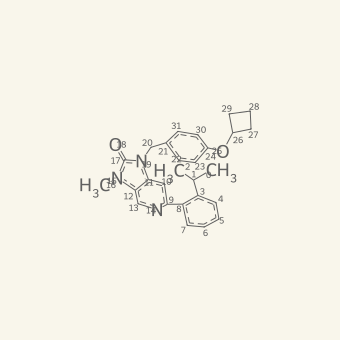 CC(C)c1ccccc1-c1cc2c(cn1)n(C)c(=O)n2Cc1ccc(OC2CCC2)cc1